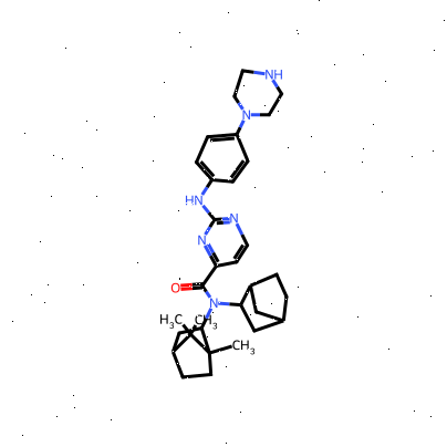 CC1(C)C2CCC1(C)C(N(C(=O)c1ccnc(Nc3ccc(N4CCNCC4)cc3)n1)C1CC3CCC1C3)C2